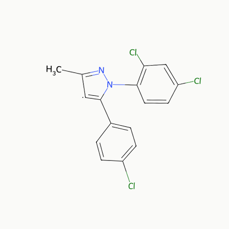 Cc1[c]c(-c2ccc(Cl)cc2)n(-c2ccc(Cl)cc2Cl)n1